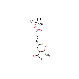 CC(=O)C(C/C(F)=C/CNC(=O)OC(C)(C)C)C(C)=O